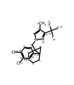 Cc1cn(CC23CNCCC2(c2ccc(Cl)c(Cl)c2)C3)nc1C(F)(F)F